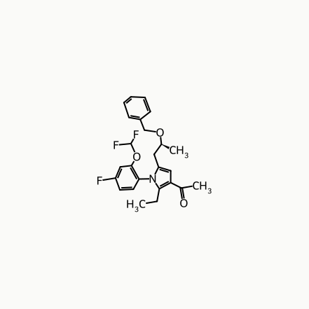 CCc1c(C(C)=O)cc(C[C@H](C)OCc2ccccc2)n1-c1ccc(F)cc1OC(F)F